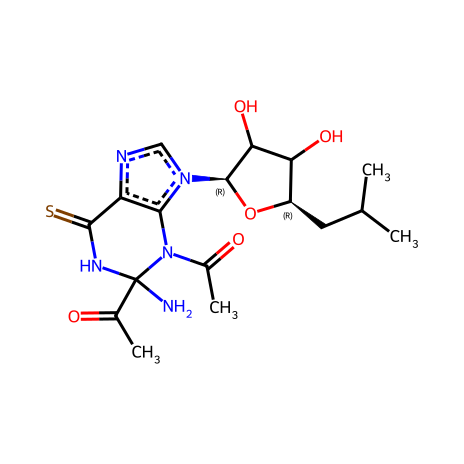 CC(=O)N1c2c(ncn2[C@@H]2O[C@H](CC(C)C)C(O)C2O)C(=S)NC1(N)C(C)=O